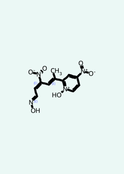 C\C(=C/C(=C\C=N\O)[N+](=O)[O-])c1cc([N+](=O)[O-])cc[n+]1O